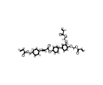 C=CC(=O)OCOc1ccc(-c2ccc(OC(=O)C#Cc3ccc(COC(=O)C=C)cc3)cc2)cc1OCOC(=O)C=C